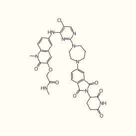 CNC(=O)COc1cc2cc(Nc3nc(N4CCCN(c5ccc6c(c5)C(=O)N(C5CCC(=O)NC5=O)C6=O)CC4)ncc3Cl)ccc2n(C)c1=O